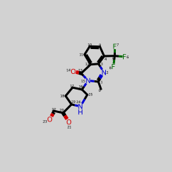 Cc1nc2c(C(F)(F)F)cccc2c(=O)n1C1CCC(C(=O)C=O)NC1